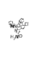 NC(=O)c1cnc(C(=O)NCc2ccccn2)c(-c2ccc(Cl)c(-c3ccccn3)c2)c1